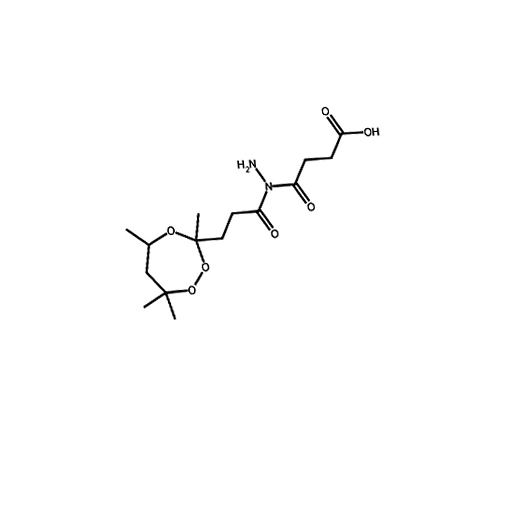 CC1CC(C)(C)OOC(C)(CCC(=O)N(N)C(=O)CCC(=O)O)O1